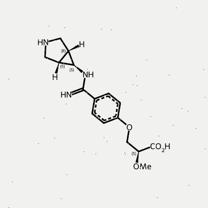 CO[C@@H](COc1ccc(C(=N)N[C@H]2[C@@H]3CNC[C@@H]32)cc1)C(=O)O